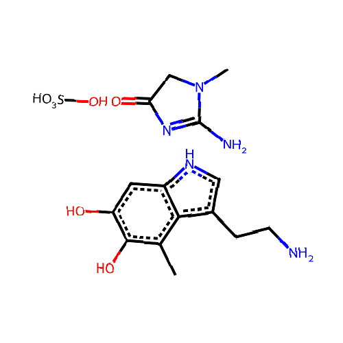 CN1CC(=O)N=C1N.Cc1c(O)c(O)cc2[nH]cc(CCN)c12.O=S(=O)(O)O